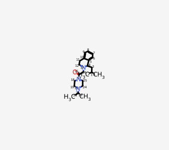 CC(C)CC1c2ccccc2CCN1CC(=O)N1CCN(C(C)C)CC1